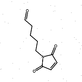 O=CCCCCN1C(=O)C=CC1=O